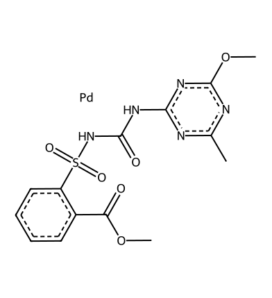 COC(=O)c1ccccc1S(=O)(=O)NC(=O)Nc1nc(C)nc(OC)n1.[Pd]